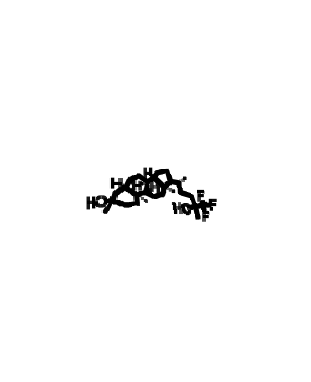 C[C@H](CCC(C)(O)C(F)(F)F)C1CC[C@H]2[C@@H]3CC[C@H]4C[C@@](C)(O)CC[C@]4(C)[C@H]3CC[C@]12C